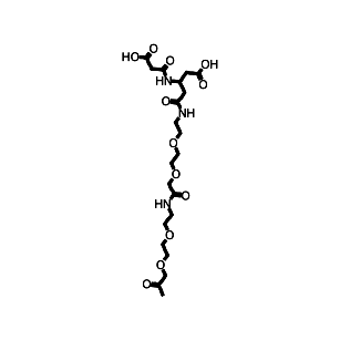 CC(=O)COCCOCCNC(=O)COCCOCCNC(=O)CC(CC(=O)O)NC(=O)CC(=O)O